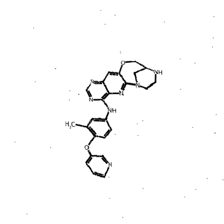 Cc1cc(Nc2ncnc3cc4c(nc23)N2CCNC(CO4)C2)ccc1Oc1cccnc1